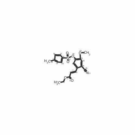 CCOC(=O)/C=C/c1cc(OS(=O)(=O)c2ccc(C)cc2)c(OC)cc1C#N